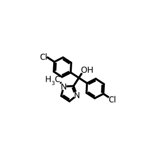 Cn1ccnc1C(O)(c1ccc(Cl)cc1)c1ccc(Cl)cc1